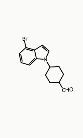 O=CC1CCC(n2ccc3c(Br)cccc32)CC1